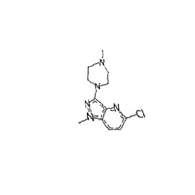 CN1CCN(c2nn(C)c3ccc(Cl)nc23)CC1